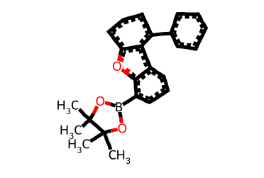 CC1(C)OB(c2cccc3c2oc2cccc(-c4ccccc4)c23)OC1(C)C